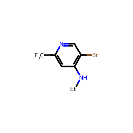 CCNc1cc(C(F)(F)F)ncc1Br